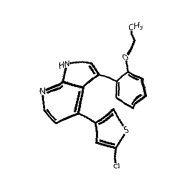 CCOc1ccccc1-c1c[nH]c2nccc(-c3csc(Cl)c3)c12